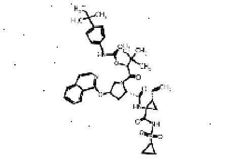 C=C[C@@H]1C[C@]1(NC(=O)[C@@H]1C[C@@H](Oc2nccc3ccccc23)CN1C(=O)[C@@H](OC(=O)Nc1ccc(C(C)(C)C)cc1)C(C)(C)C)C(=O)NS(=O)(=O)C1CC1